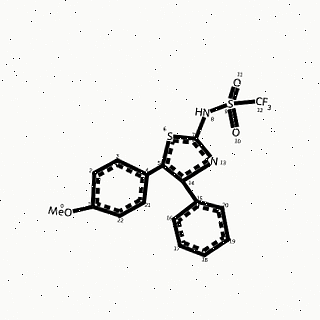 COc1ccc(-c2sc(NS(=O)(=O)C(F)(F)F)nc2-c2ccccc2)cc1